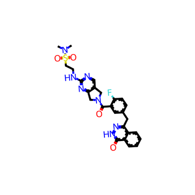 CN(C)S(=O)(=O)CCNc1ncc2c(n1)CN(C(=O)c1cc(Cc3n[nH]c(=O)c4ccccc34)ccc1F)C2